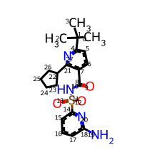 CC(C)(C)c1ccc(C(=O)NS(=O)(=O)c2cccc(N)n2)c(C2CCCC2)n1